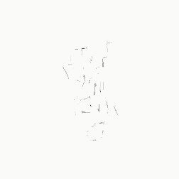 O=C(NC(=O)c1ccccc1Cl)NC1=NC(C(F)(F)F)(C(F)(F)F)C(=C(F)C(F)(F)F)S1